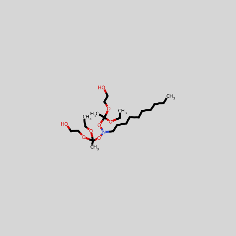 CCCCCCCCCCN(OC(C)(OCC)OCCO)OC(C)(OCC)OCCO